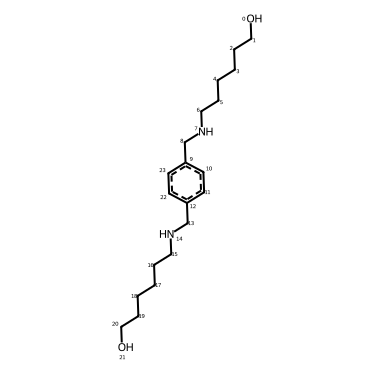 OCCCCCCNCc1ccc(CNCCCCCCO)cc1